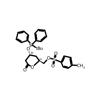 Cc1ccc(S(=O)(=O)OC[C@@H]2C[C@@H](O[Si](c3ccccc3)(c3ccccc3)C(C)(C)C)CC(=O)O2)cc1